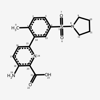 Cc1ccc(S(=O)(=O)N2CCCC2)cc1-c1ccc(N)c(C(=O)O)n1